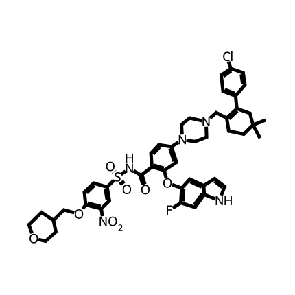 CC1(C)CCC(CN2CCN(c3ccc(C(=O)NS(=O)(=O)c4ccc(OCC5CCOCC5)c([N+](=O)[O-])c4)c(Oc4cc5cc[nH]c5cc4F)c3)CC2)=C(c2ccc(Cl)cc2)C1